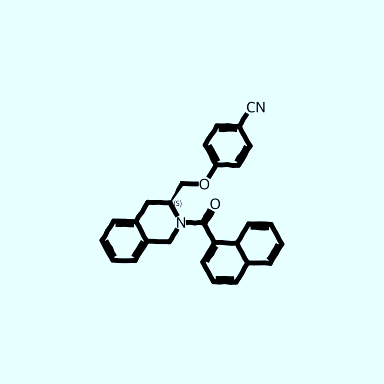 N#Cc1ccc(OC[C@@H]2Cc3ccccc3CN2C(=O)C2=CC=CC3C=CC=CC23)cc1